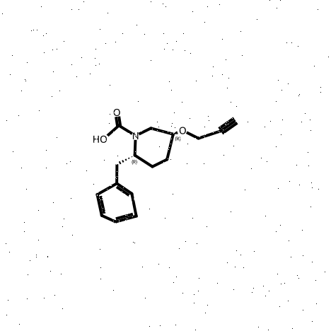 C#CCO[C@@H]1CC[C@H](Cc2ccccc2)N(C(=O)O)C1